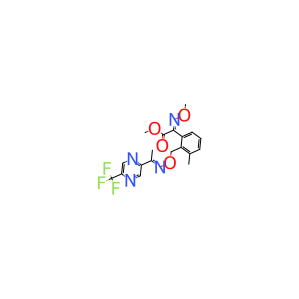 CO/N=C(/C(=O)OC)c1cccc(C)c1CO/N=C(\C)c1cnc(C(F)(F)F)cn1